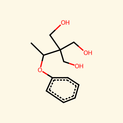 CC(Oc1ccccc1)C(CO)(CO)CO